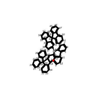 c1ccc(-c2ccccc2N(c2ccc3c(c2)C(c2ccccc2)(c2ccccc2)c2ccccc2-3)c2ccc3c(c2)C2(c4ccccc4-c4ccccc42)c2ccccc2-3)cc1